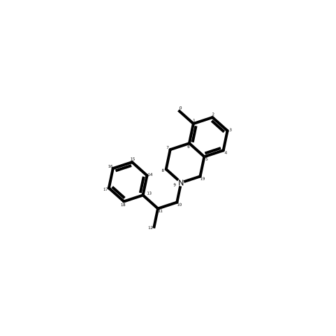 Cc1cccc2c1CCN(CC(C)c1ccccc1)C2